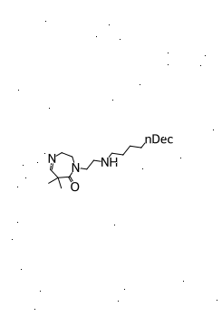 CCCCCCCCCCCCCCNCCN1CCN=CC(C)(C)C1=O